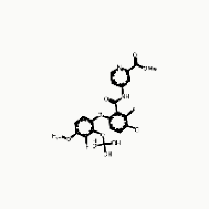 COC(=O)c1cc(NC(=O)c2c(Oc3ccc(OC(F)(F)F)c(F)c3OC(O)(O)O)ccc(Cl)c2F)ccn1